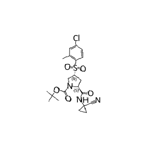 Cc1cc(Cl)ccc1S(=O)(=O)[C@@H]1C[C@@H](C(=O)NC2(C#N)CC2)N(C(=O)OC(C)(C)C)C1